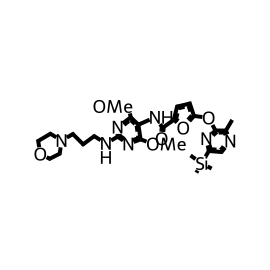 COc1nc(NCCCN2CCOCC2)nc(OC)c1NC(=O)c1ccc(Oc2nc([Si](C)(C)C)cnc2C)o1